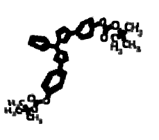 CC(C)(C)OC(=O)Oc1ccc(C2=CC(C(C3=CCC=C3)C3C=CC(c4ccc(OC(=O)OC(C)(C)C)cc4)=C3)C=C2)cc1